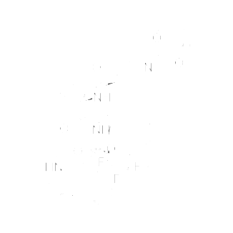 C=C[C@@H]1C[C@]1(NC(=O)[C@H]1CN(C(=O)OC(C)(C)C)C[C@@H]1c1ccc(C(F)(F)F)cc1)C(=O)NS(=O)(=O)c1cccc2cc[nH]c12